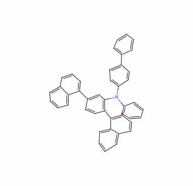 c1ccc(-c2ccc(N(c3ccccc3)c3cc(-c4cccc5ccccc45)ccc3-c3cccc4ccccc34)cc2)cc1